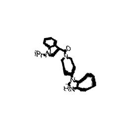 CC(C)n1cc(C(=O)N2CCC(N3[CH]Nc4ccccc43)CC2)c2ccccc21